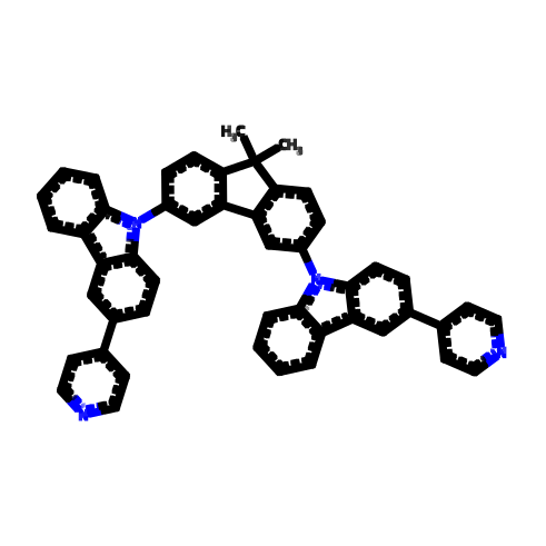 CC1(C)c2ccc(-n3c4ccccc4c4cc(-c5ccncc5)ccc43)cc2-c2cc(-n3c4ccccc4c4cc(-c5ccncc5)ccc43)ccc21